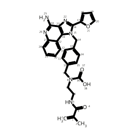 C=C(C)C(=O)NCCN(Cc1ccc(Cn2c(-c3ccco3)nc3c(N)nc4ccccc4c32)cc1)C(=O)O